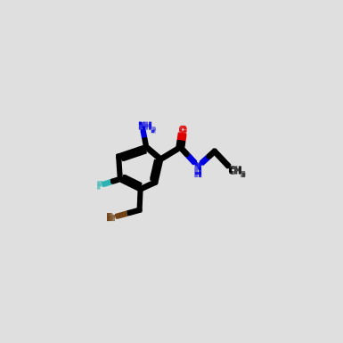 CCNC(=O)c1cc(CBr)c(F)cc1N